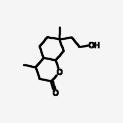 CC1CC(=O)OC2CC(C)(CCO)CCC12